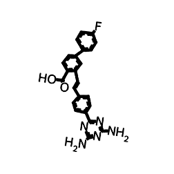 Nc1nc(N)nc(-c2ccc(C=Cc3cc(-c4ccc(F)cc4)ccc3C(=O)O)cc2)n1